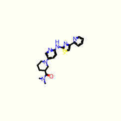 CN(C)C(=O)C1CCCN(c2ccc(Nc3nc(-c4ccccn4)cs3)nc2)C1